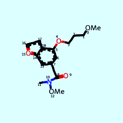 COCCCOc1cc(C(=O)N(C)OC)cc2occc12